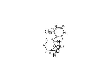 O=C1[C@@H]2CCCC1(c1ccccc1Cl)N=CO2